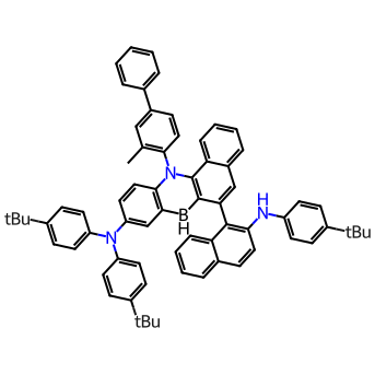 Cc1cc(-c2ccccc2)ccc1N1c2ccc(N(c3ccc(C(C)(C)C)cc3)c3ccc(C(C)(C)C)cc3)cc2Bc2c(-c3c(Nc4ccc(C(C)(C)C)cc4)ccc4ccccc34)cc3ccccc3c21